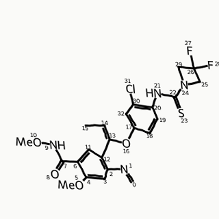 C=Nc1cc(OC)c(C(=O)NOC)cc1/C(=C\C)Oc1ccc(NC(=S)N2CC(F)(F)C2)c(Cl)c1